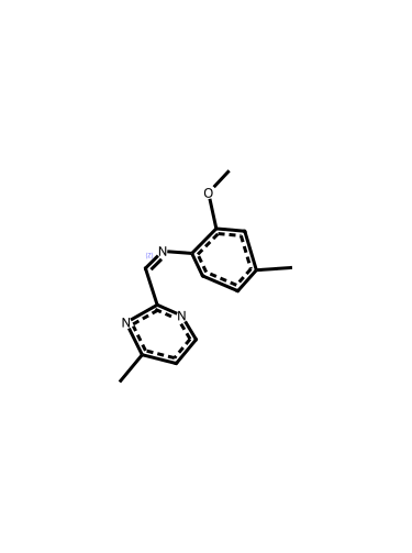 COc1cc(C)ccc1/N=C\c1nccc(C)n1